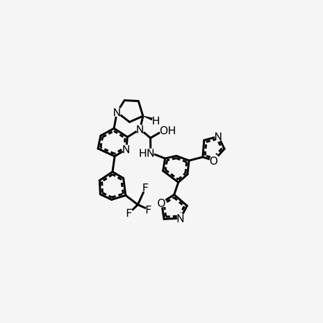 OC(Nc1cc(-c2cnco2)cc(-c2cnco2)c1)N1c2nc(-c3cccc(C(F)(F)F)c3)ccc2N2CC[C@H]1C2